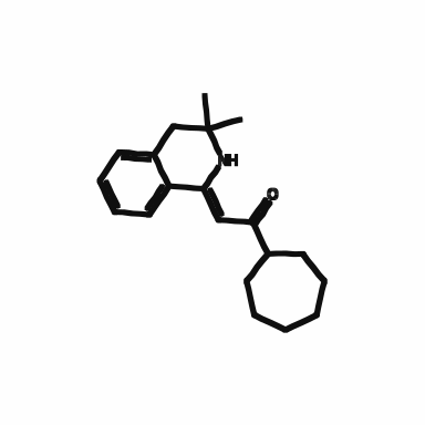 CC1(C)Cc2ccccc2/C(=C/C(=O)C2CCCCCC2)N1